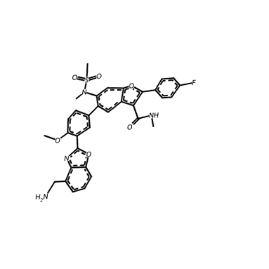 CNC(=O)c1c(-c2ccc(F)cc2)oc2cc(N(C)S(C)(=O)=O)c(-c3ccc(OC)c(-c4nc5c(CN)cccc5o4)c3)cc12